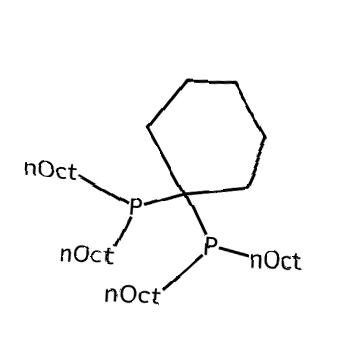 CCCCCCCCP(CCCCCCCC)C1(P(CCCCCCCC)CCCCCCCC)CCCCC1